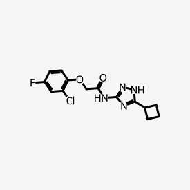 O=C(COc1ccc(F)cc1Cl)Nc1n[nH]c(C2CCC2)n1